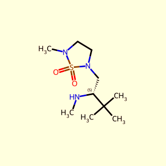 CN[C@H](CN1CCN(C)S1(=O)=O)C(C)(C)C